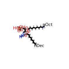 CCCCCCCC/C=C\CCCCCCCC(=O)OC(COP(=O)(O)O)C(CN=[N+]=[N-])OC(=O)CCCCCCCCCCCCCCCCC